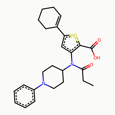 CCC(=O)N(c1cc(C2=CCCCC2)sc1C(=O)O)C1CCN(c2ccccc2)CC1